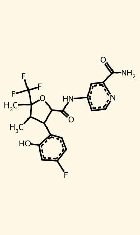 CC1C(c2ccc(F)cc2O)C(C(=O)Nc2ccnc(C(N)=O)c2)OC1(C)C(F)(F)F